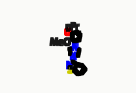 CCCOc1[c]ccc(N2CCN(c3nsc4ccccc34)CC2)c1OC